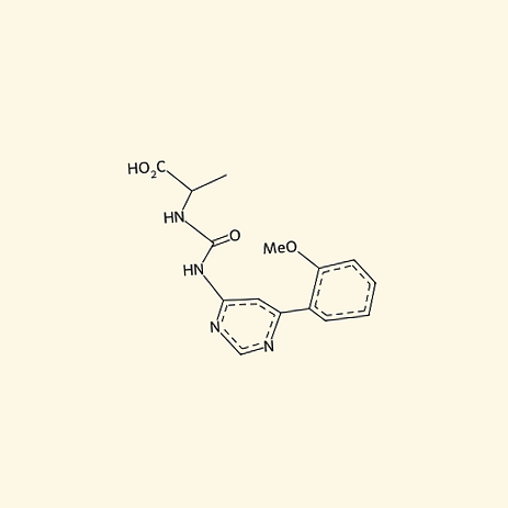 COc1ccccc1-c1cc(NC(=O)NC(C)C(=O)O)ncn1